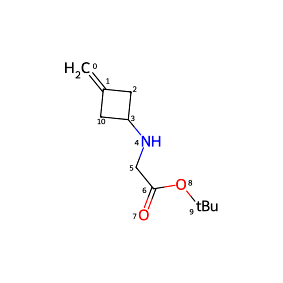 C=C1CC(NCC(=O)OC(C)(C)C)C1